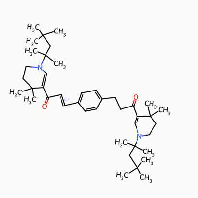 CC(C)(C)CC(C)(C)N1C=C(C(=O)/C=C/c2ccc(CCC(=O)C3=CN(C(C)(C)CC(C)(C)C)CCC3(C)C)cc2)C(C)(C)CC1